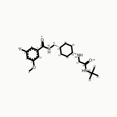 COc1cc(F)cc(C(=O)NC[C@H]2CC[C@@H](NCC(=O)NC(C)(C)C)CC2)c1